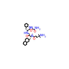 CN(C(=O)C=CC(C)(C)N)[C@H](Cc1ccc2ccccc2c1)C(=O)CN[C@H](Cc1ccccc1)c1nnc(C(N)=O)o1